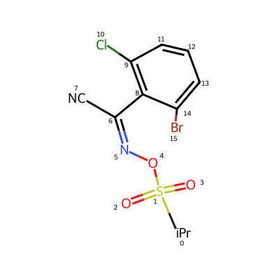 CC(C)S(=O)(=O)O/N=C(/C#N)c1c(Cl)cccc1Br